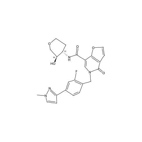 Cn1ccc(-c2ccc(Cn3cc(C(=O)N[C@H]4CCOC[C@@H]4O)c4occc4c3=O)c(F)c2)n1